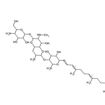 CNC1C(OC2OC(CO)C(N)C(O)C2O)OC2CC(N)C(OC3C(N)OC(N=C/C=C(\C)CC/C=C(\C)CCC=C(C)C)C(O)C3O)OC2C1O